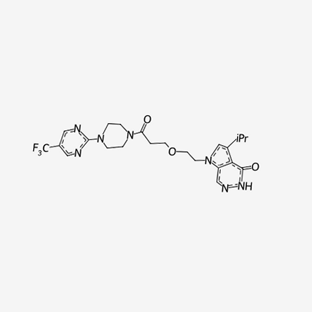 CC(C)c1cn(CCOCCC(=O)N2CCN(c3ncc(C(F)(F)F)cn3)CC2)c2cn[nH]c(=O)c12